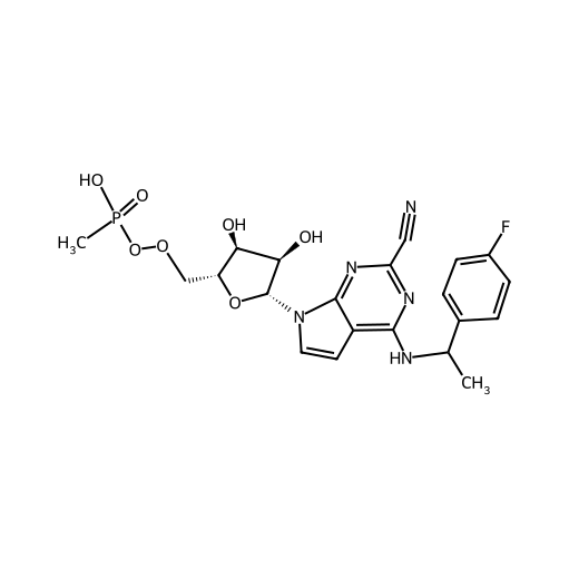 CC(Nc1nc(C#N)nc2c1ccn2[C@@H]1O[C@H](COOP(C)(=O)O)[C@@H](O)[C@H]1O)c1ccc(F)cc1